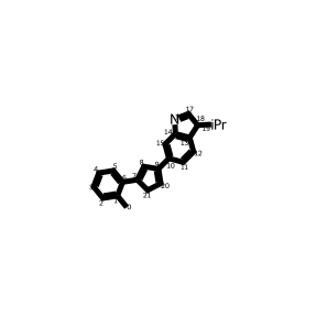 Cc1ccccc1C1=CC(c2ccc3c(c2)N=CC3C(C)C)=CC1